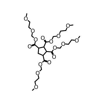 COCCOCOC(=O)C1CC(C(=O)OCOCCOC)C(C(=O)OCOCCOC)C1C(=O)OCOCCOC